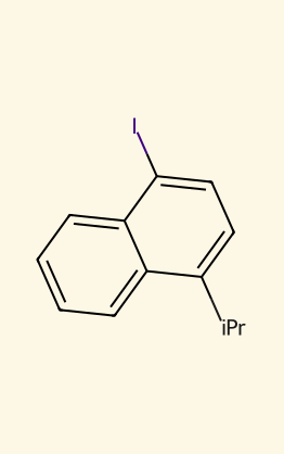 CC(C)c1ccc(I)c2ccccc12